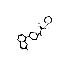 O=C(NN1CCCCC1)[C@H]1C[C@]12CC[C@H](c1ccnc3ccc(F)cc31)CC2